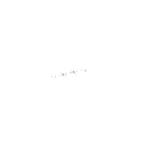 CCCCCCCOc1ccc(/N=N/c2ccc(/N=N/c3ccc(OC(=O)C4CCC(CCCCCCC)CC4)cc3)cc2)cc1